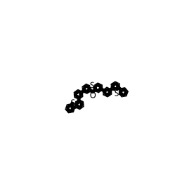 O=c1c2cc(-c3cccc(-c4cccc5c4sc4ccccc45)c3)ccc2sc2ccc(-c3cccc(-c4cccc5c4sc4ccccc45)c3)cc12